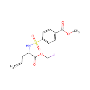 C=CCC(NS(=O)(=O)c1ccc(C(=O)OC)cc1)C(=O)OCI